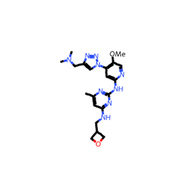 COc1cnc(Nc2nc(C)cc(NCC3COC3)n2)cc1-n1cc(CN(C)C)nn1